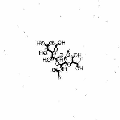 COC[C@@H](OC(CO)[C@H](C)O)C(NC(C)=O)O[C@H](O)C(O)[C@H](OCO)C(O)C(=O)O